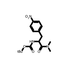 CN(C)C(=O)C(Cc1ccc([N+](=O)[O-])cc1)NC(=O)OC(C)(C)C